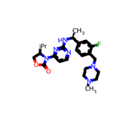 CC(C)C1COC(=O)N1c1ccnc(N[C@@H](C)c2ccc(CN3CCN(C)CC3)c(F)c2)n1